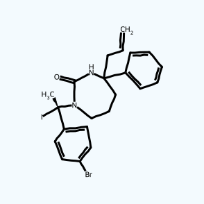 C=CCC1(c2ccccc2)CCCN([C@@](C)(I)c2ccc(Br)cc2)C(=O)N1